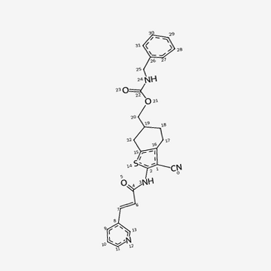 N#Cc1c(NC(=O)C=Cc2cccnc2)sc2c1CCC(COC(=O)NCc1ccccc1)C2